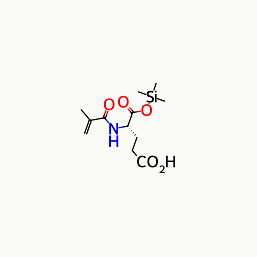 C=C(C)C(=O)N[C@@H](CCC(=O)O)C(=O)O[Si](C)(C)C